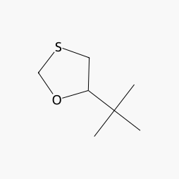 CC(C)(C)C1CSCO1